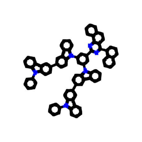 c1ccc(-n2c3ccccc3c3cc(-c4ccc5c(c4)c4ccccc4n5-c4cc(-c5nc(-c6cccc7ccccc67)c6ccc7ccccc7c6n5)cc(-n5c6ccccc6c6cc(-c7ccc8c(c7)c7ccccc7n8-c7ccccc7)ccc65)c4)ccc32)cc1